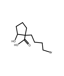 O=C(O)C1(CCCCBr)CCCC1O